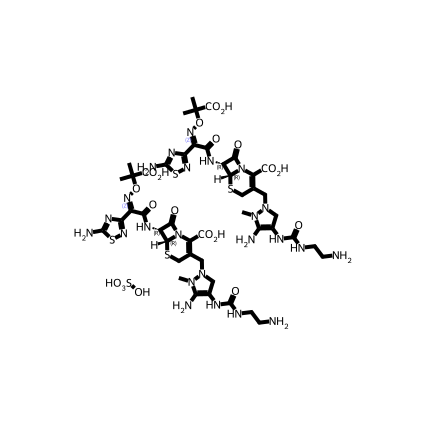 CN1C(N)=C(NC(=O)NCCN)CN1CC1=C(C(=O)O)N2C(=O)[C@@H](NC(=O)/C(=N\OC(C)(C)C(=O)O)c3nsc(N)n3)[C@H]2SC1.CN1C(N)=C(NC(=O)NCCN)CN1CC1=C(C(=O)O)N2C(=O)[C@@H](NC(=O)/C(=N\OC(C)(C)C(=O)O)c3nsc(N)n3)[C@H]2SC1.O=S(=O)(O)O